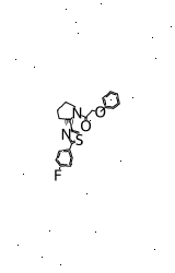 O=C(COc1ccccc1)N1CCCC[C@@H]1c1csc(-c2ccc(F)cc2)n1